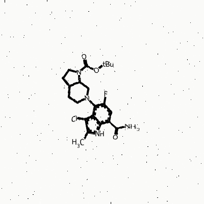 Cc1[nH]c2c(C(N)=O)cc(F)c(N3CCC4CCN(C(=O)OC(C)(C)C)C4C3)c2c1Cl